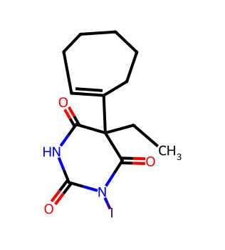 CCC1(C2=CCCCCC2)C(=O)NC(=O)N(I)C1=O